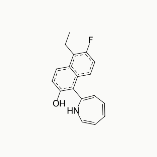 CCc1c(F)ccc2c(C3=CC=CC=CN3)c(O)ccc12